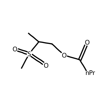 CCCC(=O)OCC(C)S(C)(=O)=O